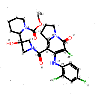 CC(C)(C)OC(=O)N1CCCCC1C1(O)CN(C(=O)c2c(Nc3ccc(Br)cc3F)c(F)c(=O)n3c2CCC3)C1